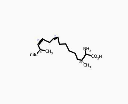 CCCC[C@H](C)/C=C\C/C=C\CCCCC[C@@H](C)C(N)C(=O)O